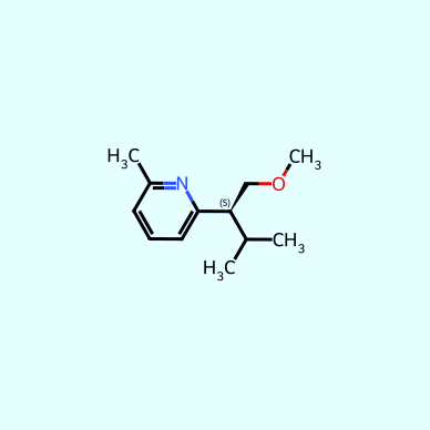 COC[C@H](c1cccc(C)n1)C(C)C